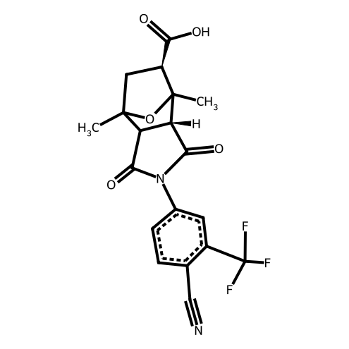 CC12C[C@@H](C(=O)O)C(C)(O1)[C@@H]1C(=O)N(c3ccc(C#N)c(C(F)(F)F)c3)C(=O)C12